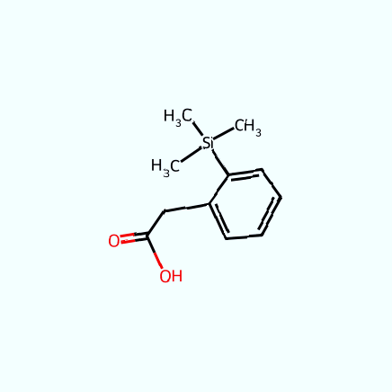 C[Si](C)(C)c1ccccc1CC(=O)O